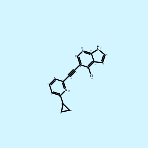 Clc1c(C#Cc2cccc(C3CC3)n2)cnc2[nH]ccc12